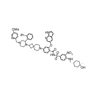 COc1ccc(CN2CCN(C3CC4(CCN(c5ccc(C(=O)NS(=O)(=O)c6ccc(NC[C@H]7CC[C@](C)(O)CC7)c([N+](=O)[O-])c6)c(Oc6cnc7[nH]ccc7c6)c5)CC4)C3)C(c3ccccc3C(C)C)C2)nc1